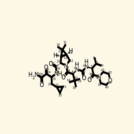 CC(C)[C@H](NC(=O)N[C@H](C(=O)N1C[C@H]2[C@@H]([C@H]1C(=O)NC(CC1CC1)C(=O)C(N)=O)C2(C)C)C(C)(C)C)C(=O)N1CCOCC1